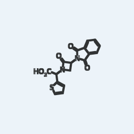 O=C(O)C(c1cccs1)N1CC(N2C(=O)c3ccccc3C2=O)C1=O